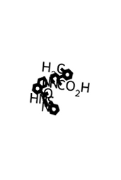 Cc1ccccc1-c1ccc(N2CCc3cccc(C(=O)Nc4nc5ccccc5s4)c3C2)nc1C(=O)O